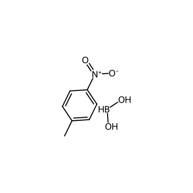 Cc1ccc([N+](=O)[O-])cc1.OBO